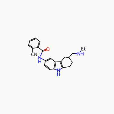 CCNCC1CCc2[nH]c3ccc(NC(=O)c4ccccc4C#N)cc3c2C1